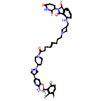 CC(Oc1cc(-c2cnn(C3CCN(C(=O)CCCCCCCN4CC(CNc5cccc6c5C(=O)N(C5CCC(=O)NC5=O)C6=O)C4)CC3)c2)cnc1N)c1c(Cl)ccc(F)c1Cl